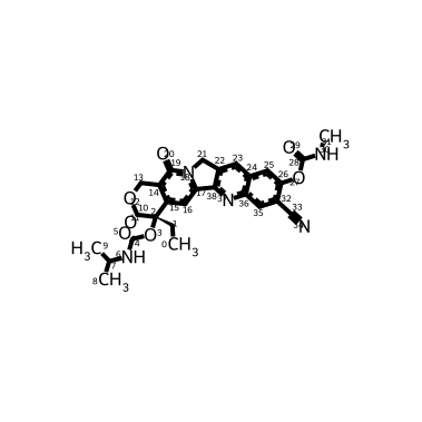 CC[C@@]1(OC(=O)NC(C)C)C(=O)OCc2c1cc1n(c2=O)Cc2cc3cc(OC(=O)NC)c(C#N)cc3nc2-1